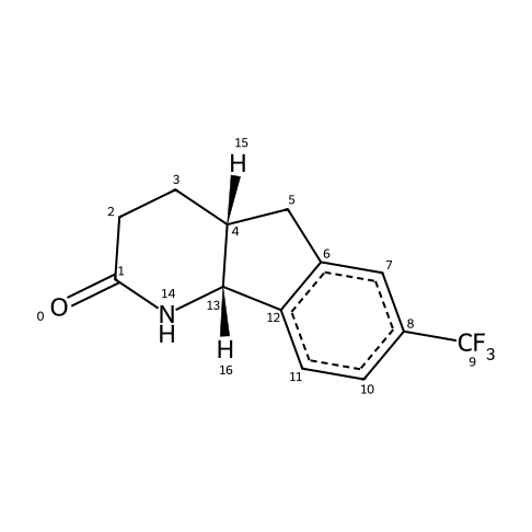 O=C1CC[C@@H]2Cc3cc(C(F)(F)F)ccc3[C@@H]2N1